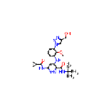 BC(B)(B)NC(=O)c1nnc(NC(=O)C2CC2)cc1Nc1cccc(-n2cc(CO)nn2)c1OC